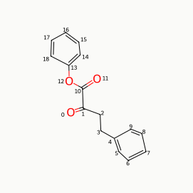 O=C(CCc1ccccc1)C(=O)Oc1ccccc1